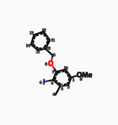 COc1cc(C)c(I)c(OCc2ccccc2)c1